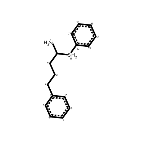 [SiH3]C(CCCc1ccccc1)[SiH2]c1ccccc1